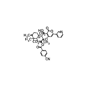 C[C@H]1CC[C@@]2(C)C(C[C@H](OC(=O)c3ccc(C#N)cc3)[C@@]3(C)Oc4cc(-c5cccnc5)oc(=O)c4[C@H](O)C23)C1(C)C(=O)O